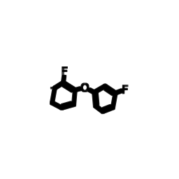 FC1=C(Oc2cccc(F)c2)C=CC[CH]1